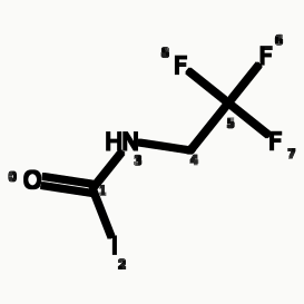 O=C(I)NCC(F)(F)F